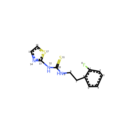 Fc1ccccc1CCNC(=S)Nc1nccs1